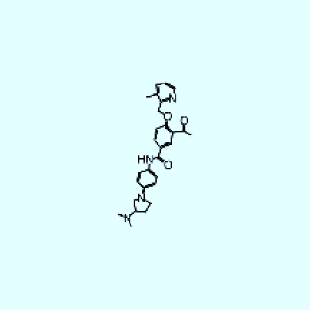 CC(=O)c1cc(C(=O)Nc2ccc(N3CCC(N(C)C)C3)cc2)ccc1OCc1ncccc1C